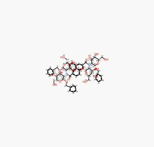 O=C(c1ccc2cc(C(=O)N([C@@H]3[C@@H](OCc4ccccc4)O[C@H](CO)[C@@H](O)[C@@H]3O)[C@@H]3[C@@H](OCc4ccccc4)O[C@H](CO)[C@@H](O)[C@@H]3O)ccc2c1)N([C@@H]1[C@@H](OCc2ccccc2)O[C@H](CO)[C@@H](O)[C@@H]1O)[C@@H]1[C@@H](OCc2ccccc2)O[C@H](CO)[C@@H](O)[C@@H]1O